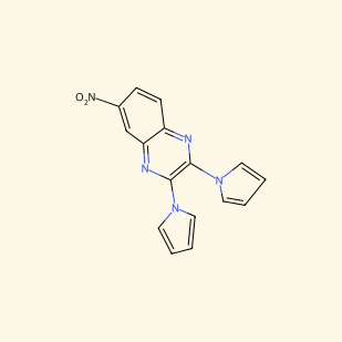 O=[N+]([O-])c1ccc2nc(-n3cccc3)c(-n3cccc3)nc2c1